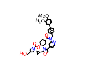 COc1ccc(C23CCC(CN(c4cc(-c5coc(C6CC6)n5)ccn4)C(=O)[C@H]4CC[C@H](OC(=O)N5CC(CO)C5)CC4)(CC2)CC3)cc1C